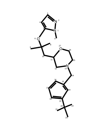 Cn1nccc1OC(C)(C)CC1CN(Cc2cccc(C(C)(C)C)c2)CCO1